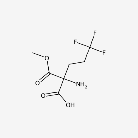 COC(=O)C(N)(CCC(F)(F)F)C(=O)O